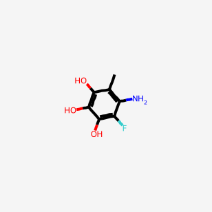 Cc1c(N)c(F)c(O)c(O)c1O